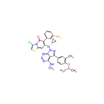 CNc1ncnc2c1c(-c1ccc(OC(C)C)c(C)c1)nn2[C@H](c1cc2scc(Cl)n2c(=O)c1-c1cccc(P)c1)C1CC1